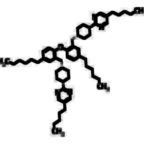 CCCCCCc1ccc(Oc2ccc(CCCCCC)cc2C[C@H]2CC[C@H](c3ncc(CCCCC)cn3)CC2)c(C[C@H]2CC[C@H](c3ncc(CCCCC)cn3)CC2)c1